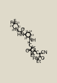 CCNC(=O)C(=C=c1sc(=C=CNc2cccc(NC(=O)CN3CCC(F)(F)CC3)c2)c(=O)n1CC)C#N